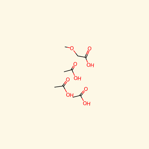 CC(=O)O.CC(=O)O.CC(=O)O.COCC(=O)O